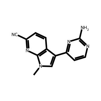 Cn1cc(-c2ccnc(N)n2)c2ccc(C#N)nc21